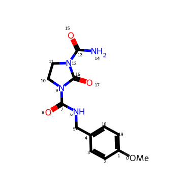 COc1ccc([CH]NC(=O)N2CCN(C(N)=O)C2=O)cc1